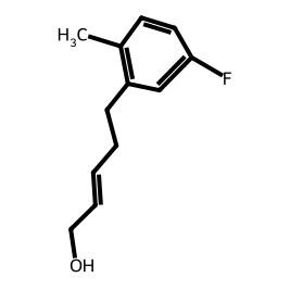 Cc1ccc(F)cc1CC/C=C/CO